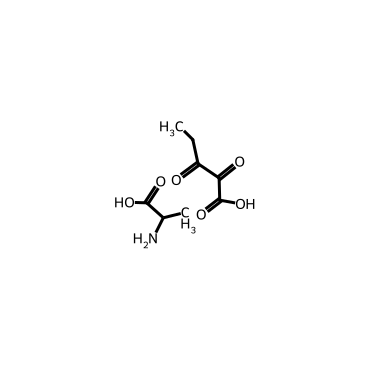 CC(N)C(=O)O.CCC(=O)C(=O)C(=O)O